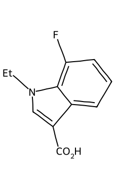 CCn1cc(C(=O)O)c2cccc(F)c21